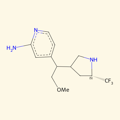 COCC(c1ccnc(N)c1)C1CN[C@H](C(F)(F)F)C1